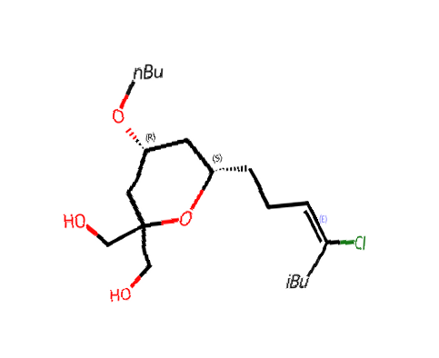 CCCCO[C@@H]1C[C@H](CC/C=C(/Cl)C(C)CC)OC(CO)(CO)C1